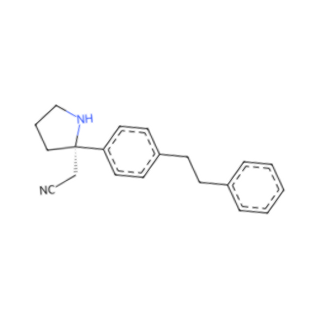 N#CC[C@]1(c2ccc(CCc3ccccc3)cc2)CCCN1